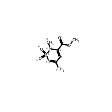 COC(=O)C1=CC(C)=NS(=O)(=O)N1C